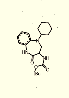 CC(C)(C)OC(=O)NC1CN(C2CCCCC2)c2ccccc2NC1=O